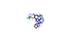 Cc1ncnc(N2CC3CCC(C2)C3Nc2nc3c(OCC(F)(F)F)c(N)cc(C(F)(F)F)n3n2)c1F